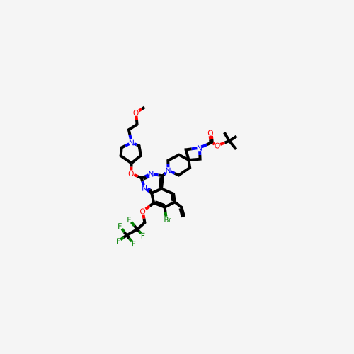 C=Cc1cc2c(N3CCC4(CC3)CN(C(=O)OC(C)(C)C)C4)nc(OC3CCN(CCOC)CC3)nc2c(OCC(F)(F)C(F)(F)F)c1Br